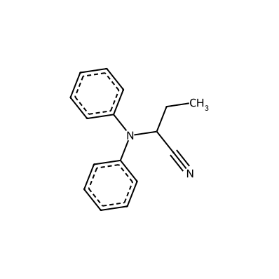 CCC(C#N)N(c1ccccc1)c1ccccc1